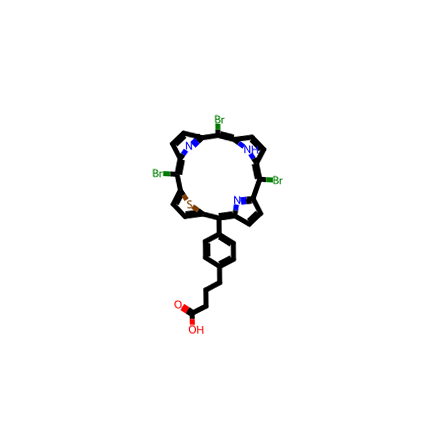 O=C(O)CCCc1ccc(-c2c3nc(c(Br)c4ccc([nH]4)c(Br)c4nc(c(Br)c5ccc2s5)C=C4)C=C3)cc1